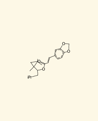 CC(C)CC(OC(=O)/C=C/c1ccc2c(c1)OCO2)C1(C)CC1(C)C